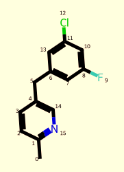 Cc1ccc(Cc2cc(F)cc(Cl)c2)cn1